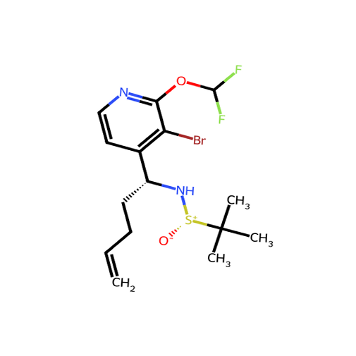 C=CCC[C@@H](N[S@@+]([O-])C(C)(C)C)c1ccnc(OC(F)F)c1Br